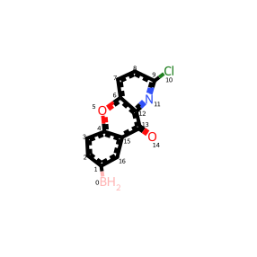 Bc1ccc2oc3ccc(Cl)nc3c(=O)c2c1